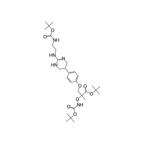 CC(C)(C)OC(=O)NCCNC1=NCC(c2ccc(OCC(C)(ONC(=O)OC(C)(C)C)C(=O)OC(C)(C)C)cc2)CN1